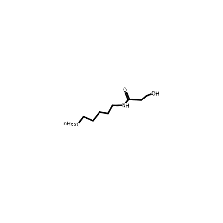 CCCCCCCCCCCCNC(=O)CCO